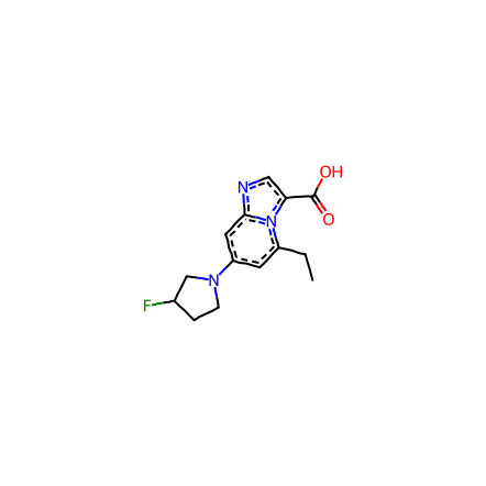 CCc1cc(N2CCC(F)C2)cc2ncc(C(=O)O)n12